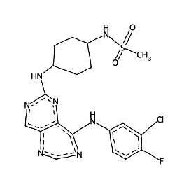 CS(=O)(=O)NC1CCC(Nc2ncc3ncnc(Nc4ccc(F)c(Cl)c4)c3n2)CC1